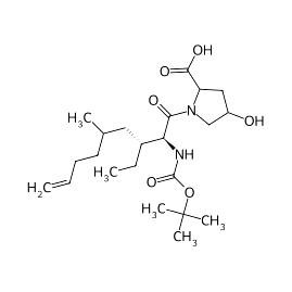 C=CCCC(C)C[C@@H](CC)[C@H](NC(=O)OC(C)(C)C)C(=O)N1CC(O)CC1C(=O)O